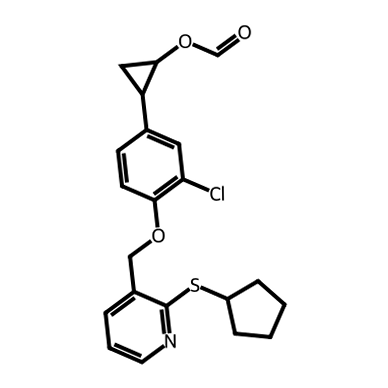 O=COC1CC1c1ccc(OCc2cccnc2SC2CCCC2)c(Cl)c1